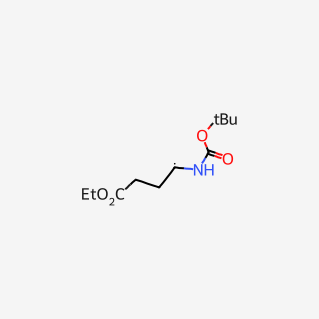 CCOC(=O)CC[CH]NC(=O)OC(C)(C)C